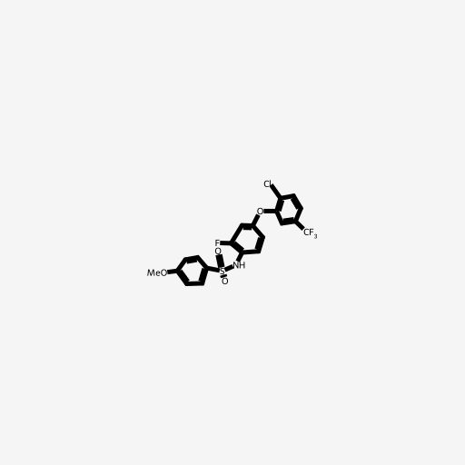 COc1ccc(S(=O)(=O)Nc2ccc(Oc3cc(C(F)(F)F)ccc3Cl)cc2F)cc1